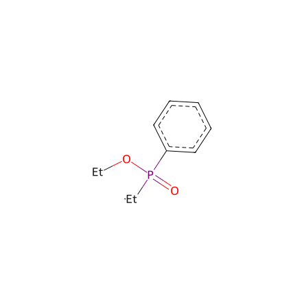 C[CH]P(=O)(OCC)c1ccccc1